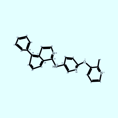 Cc1ncccc1Oc1ccc(Nc2nccc3c(-c4ccccc4)cccc23)cn1